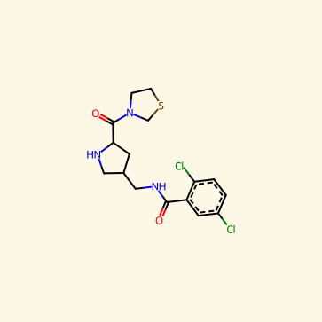 O=C(NCC1CNC(C(=O)N2CCSC2)C1)c1cc(Cl)ccc1Cl